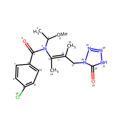 COC(C)N(C(=O)c1ccc(Cl)cc1)/C(C)=C(\C)Cn1nn[nH]c1=O